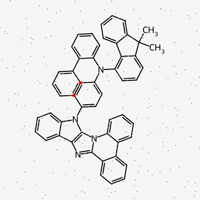 CC1(C)c2ccccc2-c2c(N(c3ccc(-n4c5ccccc5c5nc6c7ccccc7c7ccccc7n6c54)cc3)c3ccccc3-c3ccccc3)cccc21